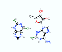 C[C@H]1O[C@@H](n2cnc3c(N)nc(Cl)nc32)[C@H](O)[C@@H]1O.Clc1nc(Cl)c2nc[nH]c2n1